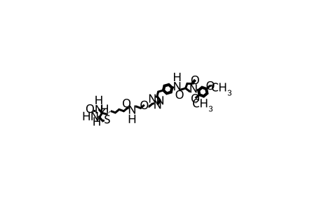 COc1ccc(OC)c(N2CC(C(=O)Nc3ccc(CC4N=NC(COCCNC(=O)CCCC[C@@H]5SC[C@@H]6NC(=O)N[C@@H]65)=N4)cc3)CC2=O)c1